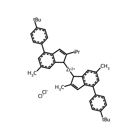 CC1=Cc2c(-c3ccc(C(C)(C)C)cc3)cc(C)cc2[CH]1[Zr+2][CH]1C(C(C)C)=Cc2c(-c3ccc(C(C)(C)C)cc3)cc(C)cc21.[Cl-].[Cl-]